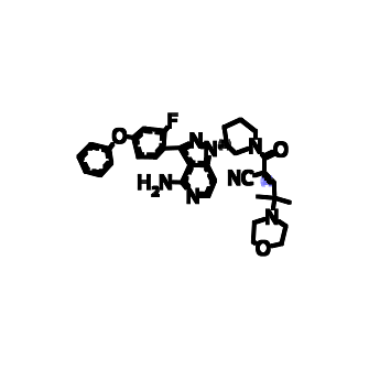 CC(C)(/C=C(\C#N)C(=O)N1CCC[C@@H](n2nc(-c3ccc(Oc4ccccc4)cc3F)c3c(N)nccc32)C1)N1CCOCC1